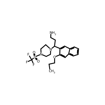 CCCOc1cc2ccccc2cc1C(CCN)N1CCN(S(=O)(=O)C(F)(F)F)CC1